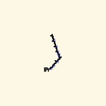 CC(C)=CC/C=C(\C)CCC/C(C)=C/CC/C(C)=C/C=C/C=C(\C)CC/C=C(\C)CC/C=C/C/C=C/C(C)C